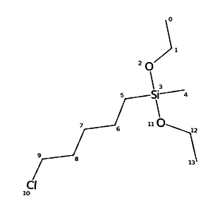 CCO[Si](C)(CCCCCCl)OCC